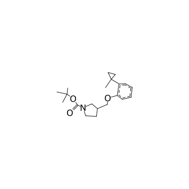 CC(C)(C)OC(=O)N1CCC(COc2ccccc2C2(C)CC2)C1